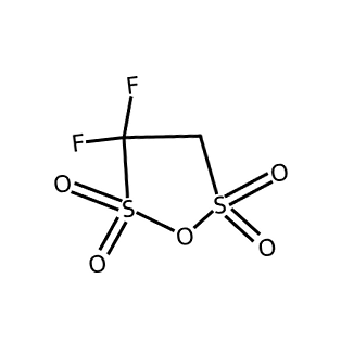 O=S1(=O)CC(F)(F)S(=O)(=O)O1